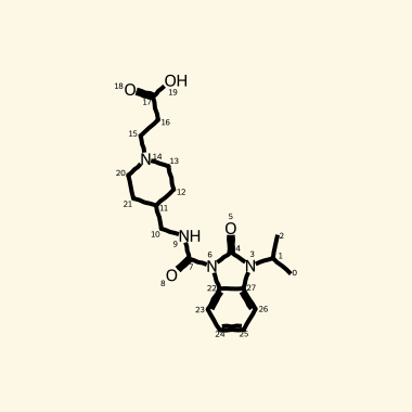 CC(C)n1c(=O)n(C(=O)NCC2CCN(CCC(=O)O)CC2)c2ccccc21